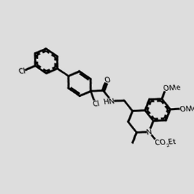 CCOC(=O)N1c2cc(OC)c(OC)cc2C(CNC(=O)C2(Cl)C=CC(c3cccc(Cl)c3)C=C2)CC1C